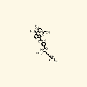 C[C@@H]1CCN(C(=O)CC#N)C[C@@H]1N(C)c1ncnc2c1ccn2C(=O)Nc1ccc(C(=O)N[C@@H](CCCCNC(=O)OC(C)(C)C)C(=O)O)cc1